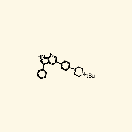 CC(C)(C)N1CCN(c2ccc(-c3cnc4[nH]cc(-c5ccccc5)c4c3)cc2)CC1